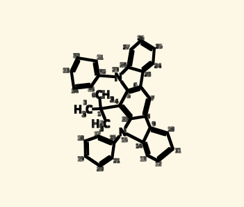 CC(C)(C)c1c2c(cc3c4ccccc4n(-c4ccccc4)c13)c1ccccc1n2-c1ccccc1